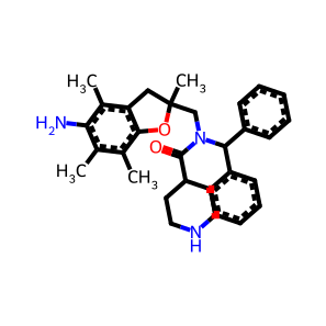 Cc1c(C)c2c(c(C)c1N)CC(C)(CN(C(=O)C1CCNCC1)C(c1ccccc1)c1ccccc1)O2